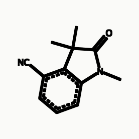 CN1C(=O)C(C)(C)c2c(C#N)cccc21